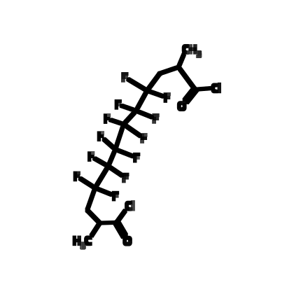 CC(CC(F)(F)C(F)(F)C(F)(F)C(F)(F)C(F)(F)C(F)(F)CC(C)C(=O)Cl)C(=O)Cl